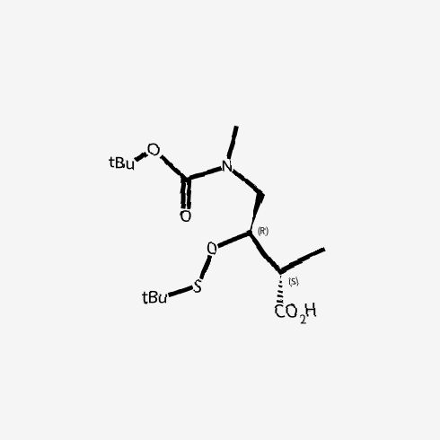 C[C@H](C(=O)O)[C@H](CN(C)C(=O)OC(C)(C)C)OSC(C)(C)C